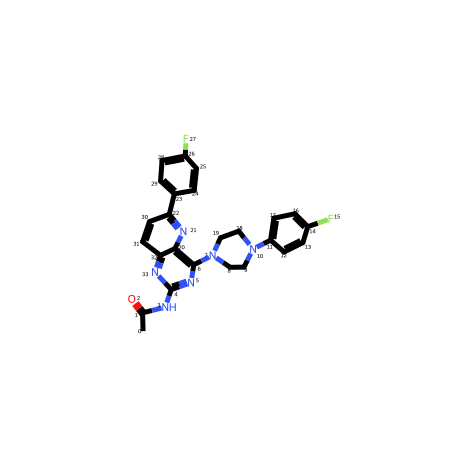 CC(=O)Nc1nc(N2CCN(c3ccc(F)cc3)CC2)c2nc(-c3ccc(F)cc3)ccc2n1